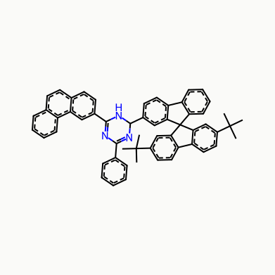 CC(C)(C)c1ccc2c(c1)C1(c3ccccc3-c3ccc(C4N=C(c5ccccc5)N=C(c5ccc6ccc7ccccc7c6c5)N4)cc31)c1cc(C(C)(C)C)ccc1-2